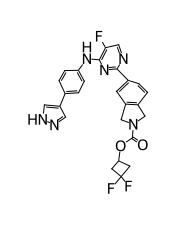 O=C(OC1CC(F)(F)C1)N1Cc2ccc(-c3ncc(F)c(Nc4ccc(-c5cn[nH]c5)cc4)n3)cc2C1